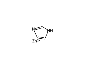 [Zn+2].c1c[nH]cn1